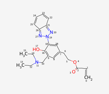 C=CC(=O)OCCc1cc(CN(CC)CC)c(O)c(-n2nc3ccccc3n2)c1